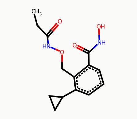 CCC(=O)NOCc1c(C(=O)NO)cccc1C1CC1